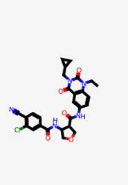 CCn1c(=O)n(CC2CC2)c(=O)c2cc(NC(=O)C3COCC3NC(=O)c3ccc(C#N)c(Cl)c3)ccc21